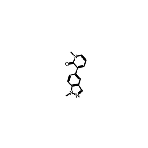 Cn1cccc(-c2ccc3c(cnn3C)c2)c1=O